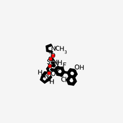 CN1CCC[C@H]1COc1nc(N2C[C@H]3CC[C@@H](C2)N3C(=O)CC2SC(=O)NC2=O)c2cc(Cl)c(-c3cc(O)cc4ccccc34)c(F)c2n1